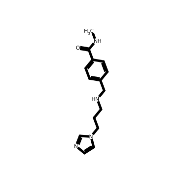 CNC(=O)c1ccc(CNCCCn2ccnc2)cc1